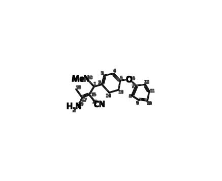 CNC(C1=CC=C(Oc2ccccc2)CC1)/C(C#N)=C(\C)N